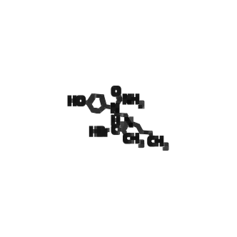 Br.CCCCN(CCN(C(N)=O)c1ccc(O)cc1)C(C)C